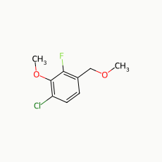 COCc1ccc(Cl)c(OC)c1F